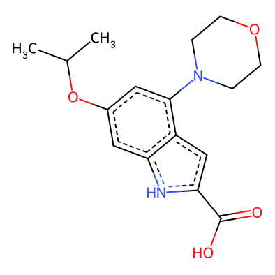 CC(C)Oc1cc(N2CCOCC2)c2cc(C(=O)O)[nH]c2c1